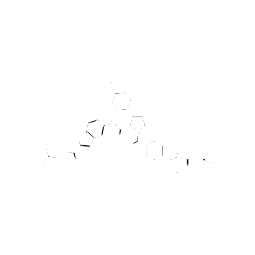 COC1CCC([C@@H]2CCN(C(=O)[C@H]3CC[C@H]([C@@H](CF)NC(=O)OC(C)(C)C)CC3)[C@@H]2C(=O)Nc2ccc3oc(C(=O)OCC(C)C)cc3c2)CC1